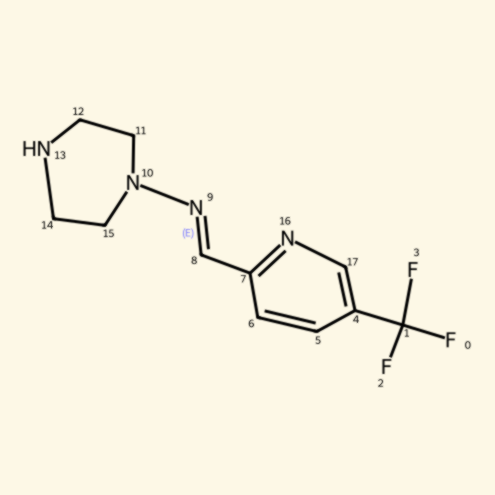 FC(F)(F)c1ccc(/C=N/N2CCNCC2)nc1